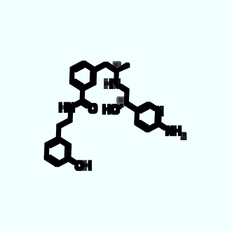 C[C@H](Cc1cccc(C(=O)NCCc2cccc(O)c2)c1)NC[C@@H](O)c1ccc(N)nc1